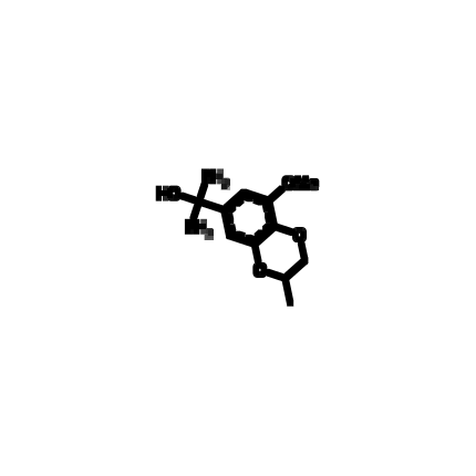 BC(B)(O)c1cc(OC)c2c(c1)OC(C)CO2